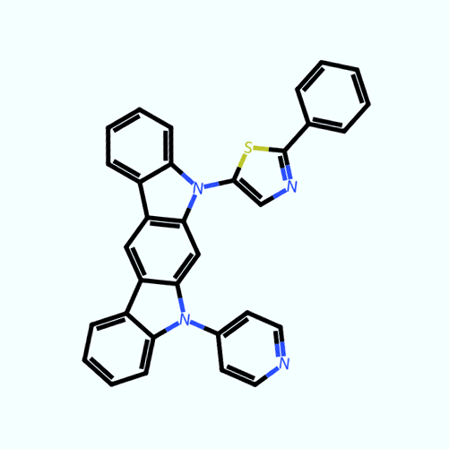 c1ccc(-c2ncc(-n3c4ccccc4c4cc5c6ccccc6n(-c6ccncc6)c5cc43)s2)cc1